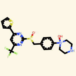 [O-][S+](Cc1ccc([N+]2(O)CCNCC2)cc1)c1nc(-c2cccs2)cc(C(F)(F)F)n1